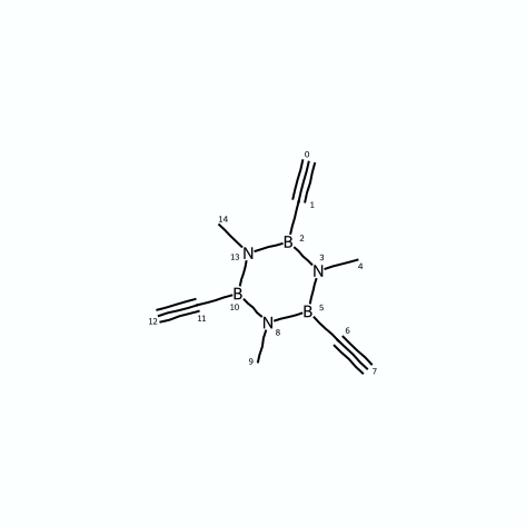 C#CB1N(C)B(C#C)N(C)B(C#C)N1C